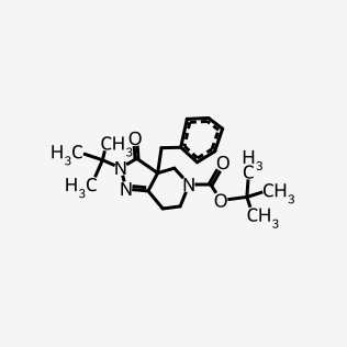 CC(C)(C)OC(=O)N1CCC2=NN(C(C)(C)C)C(=O)C2(Cc2ccccc2)C1